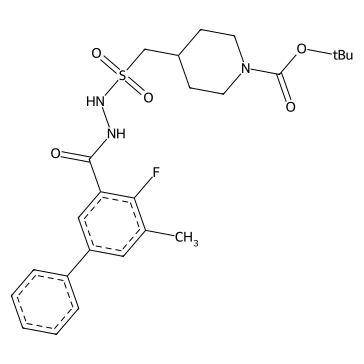 Cc1cc(-c2ccccc2)cc(C(=O)NNS(=O)(=O)CC2CCN(C(=O)OC(C)(C)C)CC2)c1F